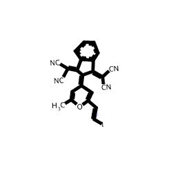 CC1=CC(=C2C(=C(C#N)C#N)c3ccccc3C2=C(C#N)C#N)C=C(/C=C/I)O1